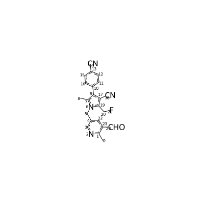 Cc1ncc(Cn2c(C)c(-c3ccc(C#N)cc3)c(C#N)c2CF)cc1C=O